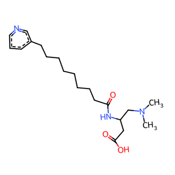 CN(C)CC(CC(=O)O)NC(=O)CCCCCCCCc1cccnc1